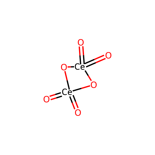 [O]=[Ce]1(=[O])[O][Ce](=[O])(=[O])[O]1